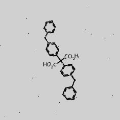 O=C(O)C(C(=O)O)(c1ccc(Cc2ccccc2)cc1)c1ccc(Cc2ccccc2)cc1